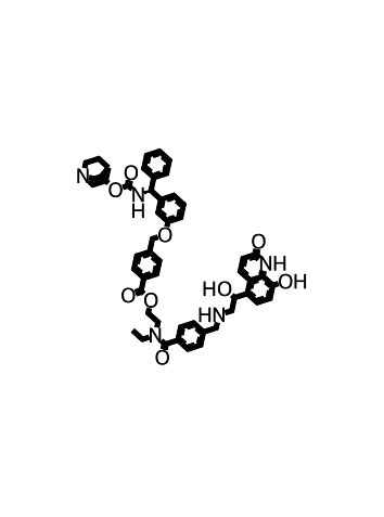 CCN(CCOC(=O)c1ccc(COc2cccc([C@@H](NC(=O)OC3CN4CCC3CC4)c3ccccc3)c2)cc1)C(=O)c1ccc(CNCC(O)c2ccc(O)c3[nH]c(=O)ccc23)cc1